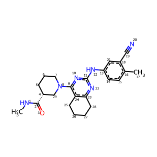 CNC(=O)[C@@H]1CCCN(c2nc(Nc3ccc(C)c(C#N)c3)nc3c2CCCC3)C1